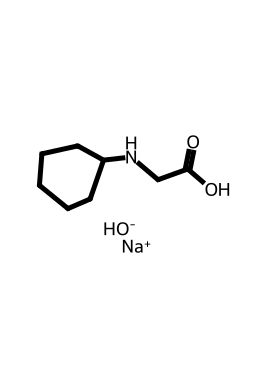 O=C(O)CNC1CCCCC1.[Na+].[OH-]